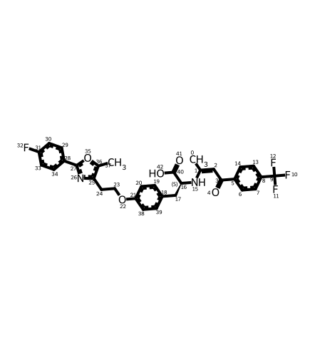 CC(=CC(=O)c1ccc(C(F)(F)F)cc1)N[C@@H](Cc1ccc(OCCc2nc(-c3ccc(F)cc3)oc2C)cc1)C(=O)O